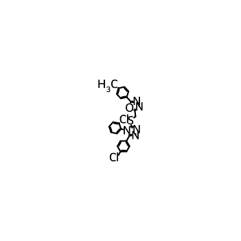 Cc1ccc(-c2nnc(CSc3nnc(-c4ccc(Cl)cc4)n3-c3ccccc3Cl)o2)cc1